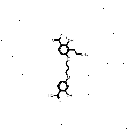 C=CCc1c(OCCCOc2ccc(C(=O)O)c(O)c2)ccc(C(C)=O)c1O